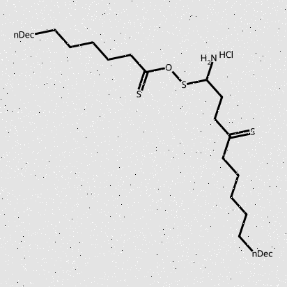 CCCCCCCCCCCCCCCC(=S)CCC(N)SOC(=S)CCCCCCCCCCCCCCC.Cl